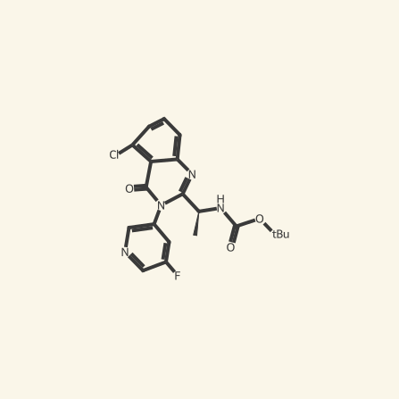 C[C@H](NC(=O)OC(C)(C)C)c1nc2cccc(Cl)c2c(=O)n1-c1cncc(F)c1